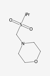 CC(C)S(=O)(=O)CN1CCOCC1